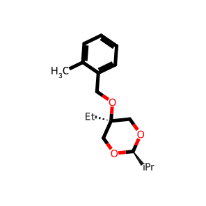 CC[C@]1(OCc2ccccc2C)CO[C@@H](C(C)C)OC1